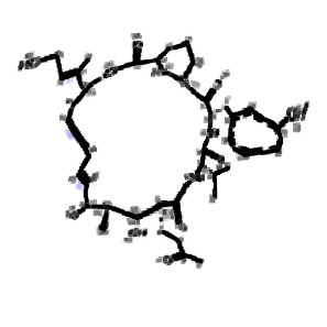 CC(=O)CC[C@H]1C(=O)N[C@@H](C(C)C)C(=O)N[C@@H](Cc2cccc(O)c2)C(=O)N2CCCC(N2)C(=O)O[C@H](/C(C)=C/CO)C/C=C/C=C/[C@H](O)[C@H](C)[C@H]1O